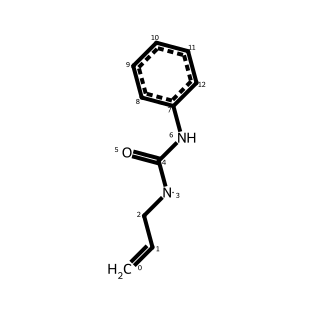 C=CC[N]C(=O)Nc1ccccc1